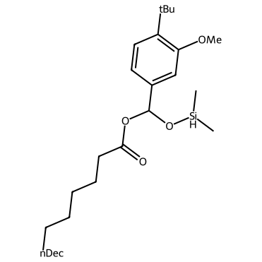 CCCCCCCCCCCCCCCC(=O)OC(O[SiH](C)C)c1ccc(C(C)(C)C)c(OC)c1